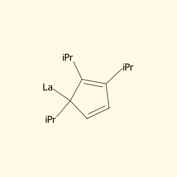 CC(C)C1=C(C(C)C)[C]([La])(C(C)C)C=C1